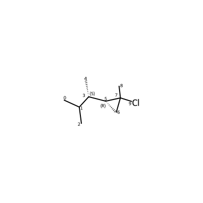 CC(C)[C@H](C)[C@H]1CC1(C)Cl